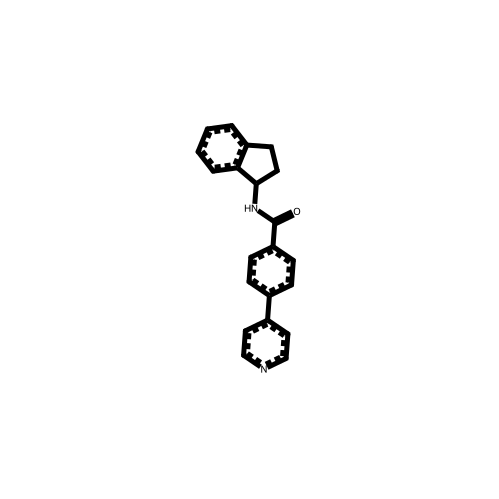 O=C(NC1CCc2ccccc21)c1ccc(-c2ccncc2)cc1